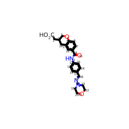 O=C(O)CC1COc2ccc(C(=O)Nc3ccc(C=NN4CCOCC4)cc3)cc2C1